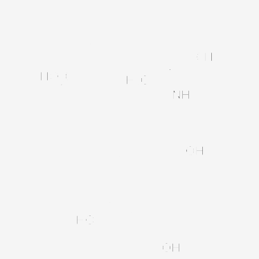 CC(C)(Cc1cccc(C(=O)O)c1)NC[C@H](O)c1ccc(O)c(CO)c1